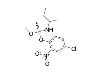 CCC(C)NP(=S)(OC)Oc1ccc(Cl)cc1[N+](=O)[O-]